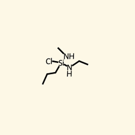 CCC[Si](Cl)(NC)NCC